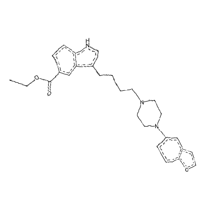 CCOC(=O)c1ccc2[nH]cc(CCCCN3CCN(c4ccc5occc5c4)CC3)c2c1